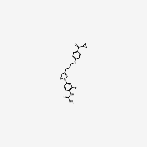 NC(=O)Nc1ccc(-n2ncc(CCCOc3ccc(C(=O)C4CC4)cc3)n2)cc1F